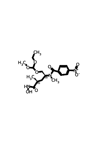 CCOC(OC)OC[C@H](C[C@H](C)C(=O)NO)N(C)C(=O)c1ccc([N+](=O)[O-])cc1